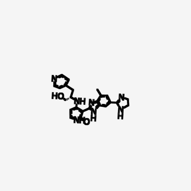 Cc1cc(C2=NCCN2)cc2[nH]c(-c3c(N[C@H](CO)Cc4ccncc4)cc[nH]c3=O)nc12